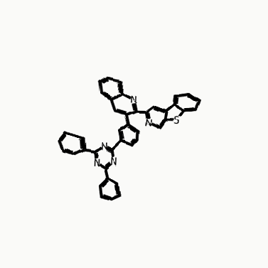 c1ccc(-c2nc(-c3ccccc3)nc(-c3cccc(-c4cc5ccccc5nc4-c4cc5c(cn4)sc4ccccc45)c3)n2)cc1